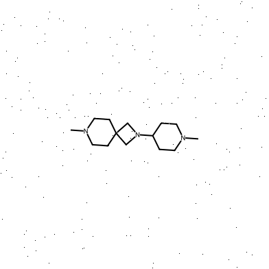 CN1CCC(N2CC3(CCN(C)CC3)C2)CC1